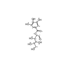 O=CC(OC(=O)c1cc(O)c(O)c(O)c1)C(O)C(O)C(O)CO